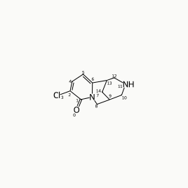 O=c1c(Cl)ccc2n1CC1CNCC2C1